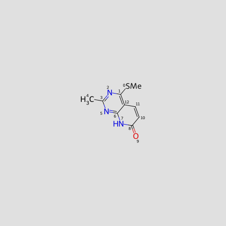 CSc1nc(C)nc2[nH]c(=O)ccc12